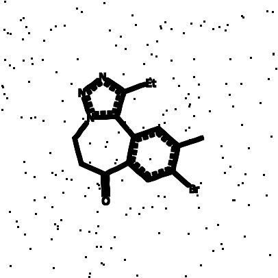 CCc1nnn2c1-c1cc(C)c(Br)cc1C(=O)CC2